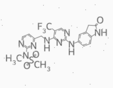 CN(c1nccc(CNc2nc(Nc3ccc4c(c3)CC(=O)N4)ncc2C(F)(F)F)n1)S(C)(=O)=O